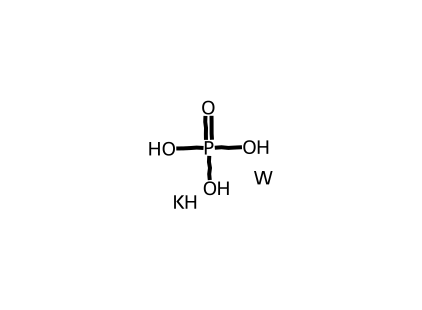 O=P(O)(O)O.[KH].[W]